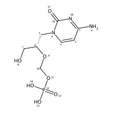 Nc1ccn(C[C@@H](CO)OCOP(=O)(O)O)c(=O)n1